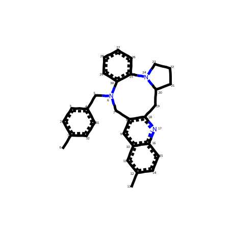 Cc1ccc(CN2Cc3cc4cc(C)ccc4nc3CC3CCCN3c3ccccc32)cc1